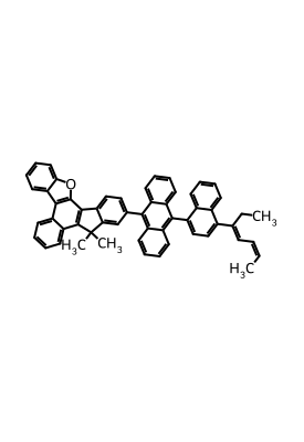 C/C=C\C=C(/CC)c1ccc(-c2c3ccccc3c(-c3ccc4c(c3)C(C)(C)c3c-4c4oc5ccccc5c4c4ccccc34)c3ccccc23)c2ccccc12